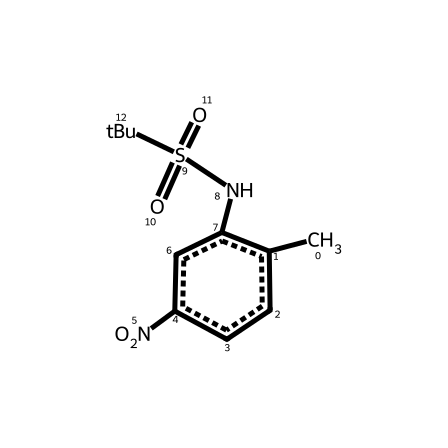 Cc1ccc([N+](=O)[O-])cc1NS(=O)(=O)C(C)(C)C